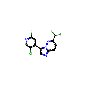 Fc1cc(-c2cnc3ccc(C(F)F)nn23)c(Cl)cn1